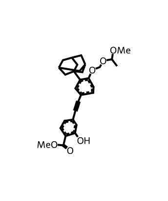 COC(=O)c1ccc(C#Cc2ccc(OCOC(C)OC)c(C34CC5CC(CC(C5)C3)C4)c2)cc1O